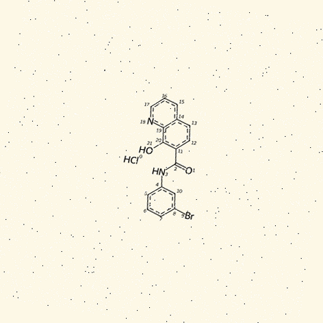 Cl.O=C(Nc1cccc(Br)c1)c1ccc2cccnc2c1O